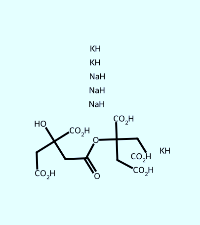 O=C(O)CC(O)(CC(=O)OC(CC(=O)O)(CC(=O)O)C(=O)O)C(=O)O.[KH].[KH].[KH].[NaH].[NaH].[NaH]